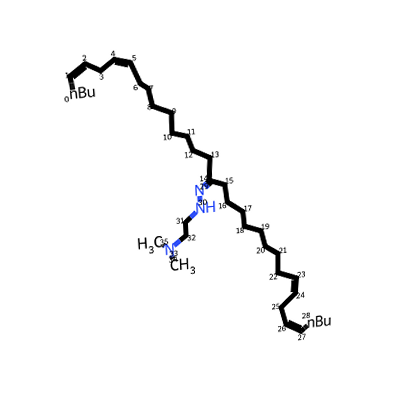 CCCC/C=C\C/C=C\CCCCCCCCC(CCCCCCCC/C=C\C/C=C\CCCC)=NNCCN(C)C